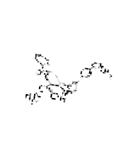 CCOC(=O)C1=CN(C(=O)c2ccccc2)CCc2c1[nH]c1ccc(-c3ccc(OC)cc3)cc21